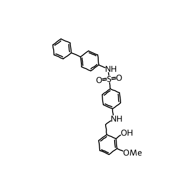 COc1cccc(CNc2ccc(S(=O)(=O)Nc3ccc(-c4ccccc4)cc3)cc2)c1O